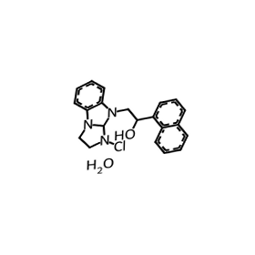 O.OC(CN1c2ccccc2N2CCN(Cl)C21)c1cccc2ccccc12